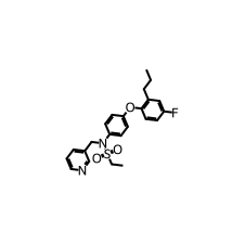 CCCc1cc(F)ccc1Oc1ccc(N(Cc2cccnc2)S(=O)(=O)CC)cc1